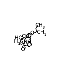 CCCC(C)COc1ccc(C(NC(=O)C2(c3ccccc3)COC2)C(C)(C)O)cc1